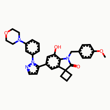 COc1ccc(CN2C(=O)C3(CCC3)c3cc(-c4ccnn4-c4cccc(N5CCOCC5)c4)cc(O)c32)cc1